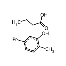 CCCC(=O)O.Cc1ccc(C(C)C)cc1O